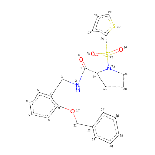 O=C(NCc1ccccc1OCc1ccccc1)C1CCCN1S(=O)(=O)c1cccs1